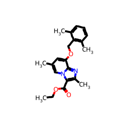 CCOC(=O)c1c(C)nc2c(OCc3c(C)cccc3C)cc(C)cn12